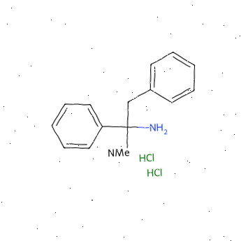 CNC(N)(Cc1ccccc1)c1ccccc1.Cl.Cl